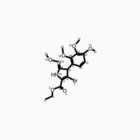 CCOC(=O)C1=C(Br)C(c2ccc(OC)c(OC)c2OC)C(=NOC)N1